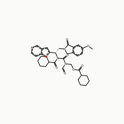 COc1ccc2c(c1)C(=O)N(C[C@@H](c1cc3cnccc3o1)N(C(=O)C1CCCCC1)C(=O)N(C=O)COC(=O)C1CCCCC1)C2